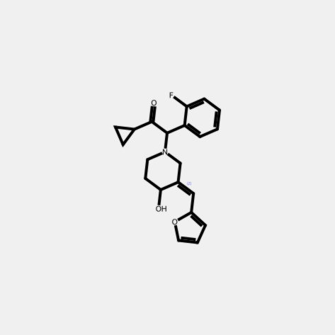 O=C(C1CC1)C(c1ccccc1F)N1CCC(O)/C(=C\c2ccco2)C1